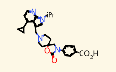 CC(C)n1cc(CN2CCC3(CC2)CN(c2ccc(C(=O)O)cc2)C(=O)O3)c2c(C3CC3)ccnc21